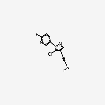 Fc1ccc(-n2ncc(C#CSI)c2Cl)cn1